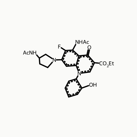 CCOC(=O)c1cn(-c2ccccc2O)c2cc(N3CCC(NC(C)=O)C3)c(F)c(NC(C)=O)c2c1=O